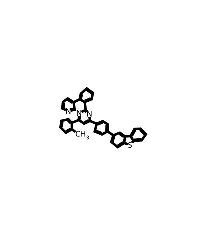 Cc1ccccc1-c1cc(-c2ccc(-c3ccc4sc5ccccc5c4c3)cc2)nc(-c2ccccc2-c2cccnc2)n1